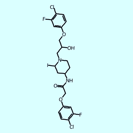 O=C(COc1ccc(Cl)c(F)c1)NC1CCN(CC(O)COc2ccc(Cl)c(F)c2)C(I)C1